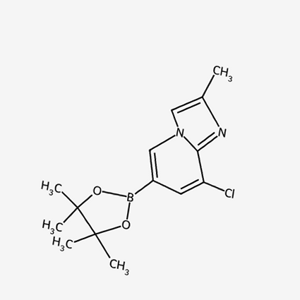 Cc1cn2cc(B3OC(C)(C)C(C)(C)O3)cc(Cl)c2n1